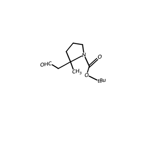 CC(C)(C)OC(=O)N1CCCC1(C)CC=O